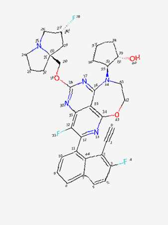 C#Cc1c(F)ccc2cccc(-c3nc4c5c(nc(OC[C@@]67CCCN6C[C@H](F)C7)nc5c3F)N([C@H]3CCC[C@@H]3O)CCO4)c12